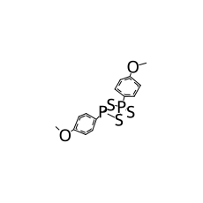 COc1ccc(P2SP(=S)(c3ccc(OC)cc3)S2)cc1